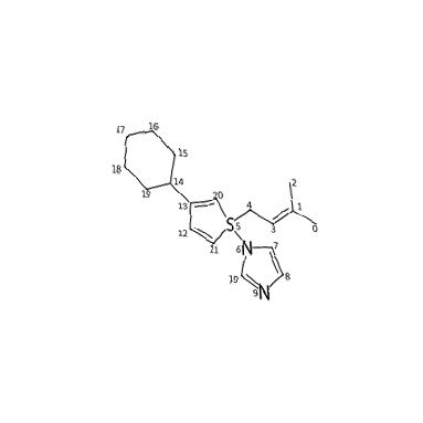 CC(C)=CCS1(n2ccnc2)C=CC(C2CCCCC2)=C1